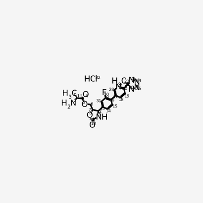 C[C@H](N)C(=O)OCC1OC(=O)NC1c1ccc(-c2ccc(C3(C)N=NN=N3)nc2)c(F)c1.Cl